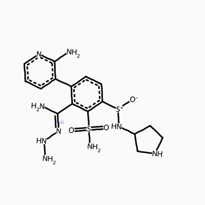 NN/N=C(\N)c1c(-c2cccnc2N)ccc([S+]([O-])NC2CCNC2)c1S(N)(=O)=O